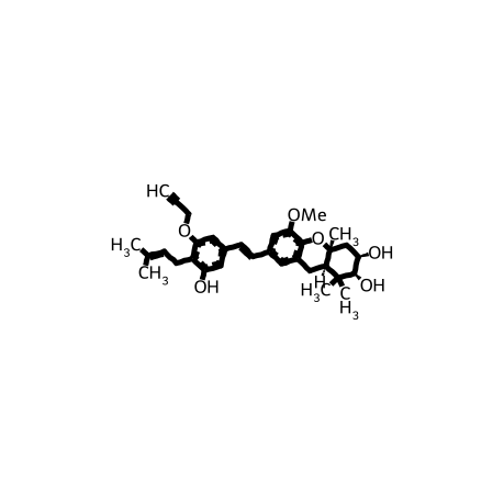 C#CCOc1cc(/C=C/c2cc3c(c(OC)c2)O[C@]2(C)C[C@@H](O)[C@@H](O)C(C)(C)[C@H]2C3)cc(O)c1CC=C(C)C